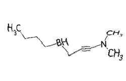 CCCCBCC#CN(C)C